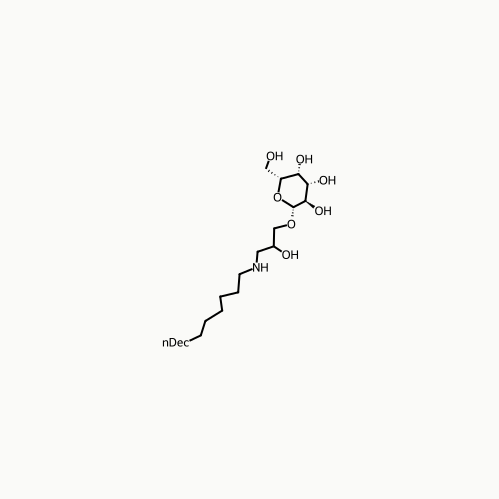 CCCCCCCCCCCCCCCCNCC(O)CO[C@@H]1O[C@H](CO)[C@H](O)[C@H](O)[C@H]1O